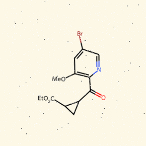 CCOC(=O)C1CC1C(=O)c1ncc(Br)cc1OC